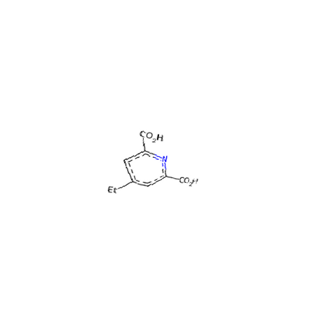 CCc1cc(C(=O)O)nc(C(=O)O)c1